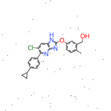 Cc1ccc(Oc2nc3nc(-c4ccc(C5CC5)cc4)c(Cl)cc3[nH]2)cc1CO